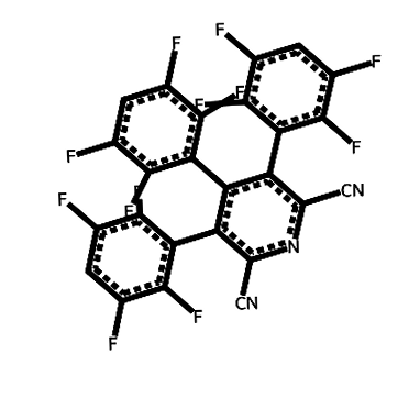 N#Cc1nc(C#N)c(-c2c(F)c(F)cc(F)c2F)c(-c2c(F)c(F)cc(F)c2F)c1-c1c(F)c(F)cc(F)c1F